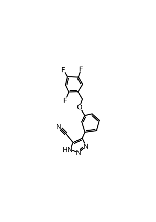 N#Cc1[nH]nnc1-c1cccc(OCc2cc(F)c(F)cc2F)c1